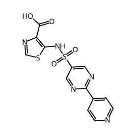 O=C(O)c1ncsc1NS(=O)(=O)c1cnc(-c2ccncc2)nc1